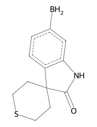 Bc1ccc2c(c1)NC(=O)C21CCSCC1